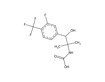 CC(C)(NC(=O)O)C(O)c1ccc(C(F)(F)F)c(F)c1